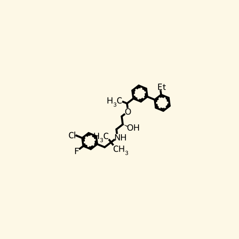 CCc1ccccc1-c1cccc(C(C)OC[C@H](O)CNC(C)(C)Cc2ccc(Cl)c(F)c2)c1